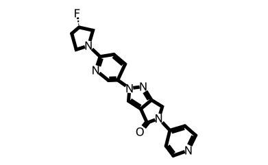 O=C1c2cn(-c3ccc(N4CC[C@H](F)C4)nc3)nc2CN1c1ccncc1